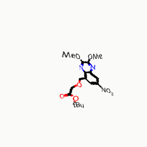 COc1nc2cc([N+](=O)[O-])cc(COCC(=O)OC(C)(C)C)c2nc1OC